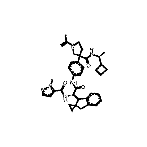 C=C(C)N1CCC(C(=O)N[C@@H](C)C2CCC2)(c2ccc(NC(=O)[C@@H](NC(=O)c3ccnn3C)C3c4ccccc4CC34CC4)cc2)C1